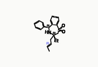 C/C=C/C[C@@]1(CC)CS(=O)(=O)c2ccccc2[C@H](c2ccccc2)N1